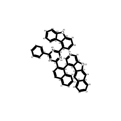 c1ccc(-c2nc(-c3ccc4ccccc4c3-c3cncc4oc5cc6ccccc6cc5c34)nc(-c3cccc4oc5ccccc5c34)n2)cc1